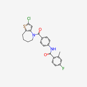 Cc1cc(F)ccc1C(=O)Nc1ccc(C(=O)N2CCCCc3sc(Cl)cc32)cc1